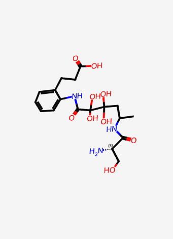 CC(CC(O)(O)C(O)(O)C(=O)Nc1ccccc1CCC(=O)O)NC(=O)[C@@H](N)CO